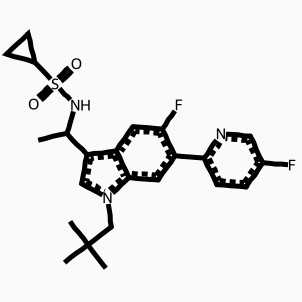 CC(NS(=O)(=O)C1CC1)c1cn(CC(C)(C)C)c2cc(-c3ccc(F)cn3)c(F)cc12